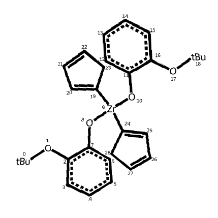 CC(C)(C)Oc1ccccc1[O][Zr]([O]c1ccccc1OC(C)(C)C)([C]1=CC=CC1)[C]1=CC=CC1